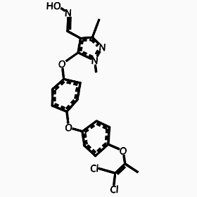 CC(Oc1ccc(Oc2ccc(Oc3c(/C=N/O)c(C)nn3C)cc2)cc1)=C(Cl)Cl